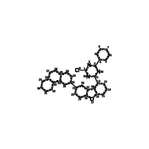 Clc1nc(-c2ccccc2)nc(-c2cccc3oc4ccc(-c5ccc6ccc7ccccc7c6c5)cc4c23)n1